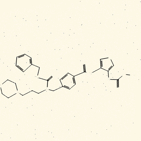 CC(C)(C)OC(=O)Nc1cscc1NC(=O)c1ccc(CN(CCCN2CCOCC2)C(=O)NCc2ccccc2)cc1